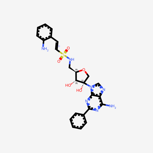 Nc1ccccc1/C=C/S(=O)(=O)NC[C@H]1OC[C@@](O)(n2cnc3c(N)nc(-c4ccccc4)nc32)[C@@H]1O